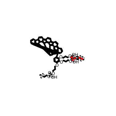 CN1CC23C4=c5ccc6c7ccc8c9ccc%10c%11ccc%12c%13c(c%14c%15c2c5c6c2c7c8c5c9c%10c(c%13%11)c%14c5c%152)C3(C=%12C=C4)C1c1ccc(OCCCOP(=O)(O)OCC[N+](C)(C)C)c(OCCCOP(=O)(O)OCC[N+](C)(C)C)c1OCCCOP(=O)(O)OC[N+](C)(C)C